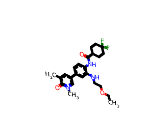 CCOCCNc1cc(-c2cc(C)c(=O)n(C)c2)ccc1NC(=O)C1CCC(F)(F)CC1